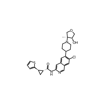 C[C@]1(N2CCC(c3cc4cc(NC(=O)[C@@H]5C[C@H]5c5cccs5)ncc4cc3Cl)CC2)COC[C@H]1O